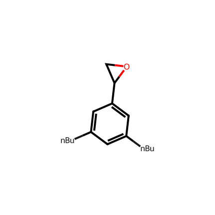 CCCCc1cc(CCCC)cc(C2CO2)c1